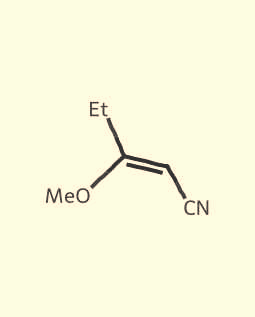 CCC(=CC#N)OC